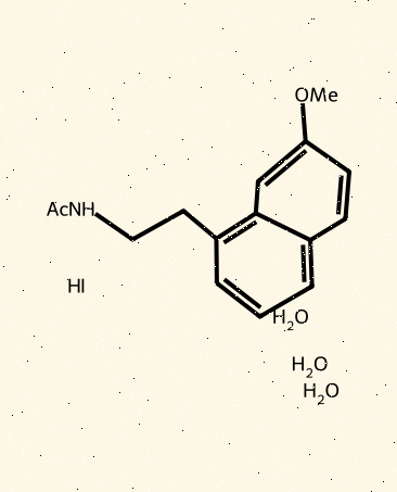 COc1ccc2cccc(CCNC(C)=O)c2c1.I.O.O.O